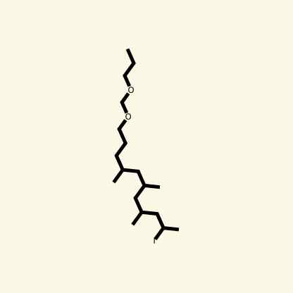 CCCOCOCCCC(C)CC(C)CC(C)CC(C)I